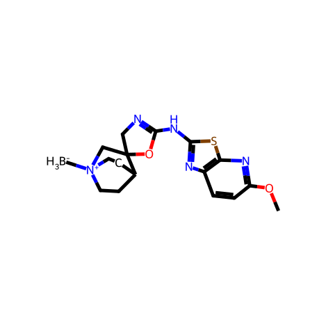 [BH3-][N+]12CCC(CC1)C1(CN=C(Nc3nc4ccc(OC)nc4s3)O1)C2